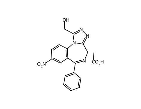 CC(=O)O.O=[N+]([O-])c1ccc2c(c1)C(c1ccccc1)=NCc1nnc(CO)n1-2